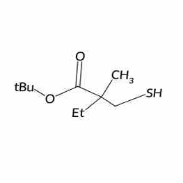 CCC(C)(CS)C(=O)OC(C)(C)C